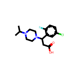 CC(C)N1CCN(C(CC(=O)O)c2cc(Cl)ccc2F)CC1